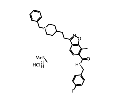 CNC.Cc1c(C(=O)NCc2ccc(F)cc2)ccc2c(CCC3CCN(Cc4ccccc4)CC3)noc12.Cl.Cl